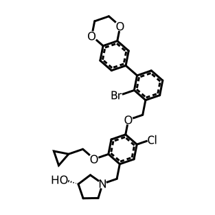 O[C@H]1CCN(Cc2cc(Cl)c(OCc3cccc(-c4ccc5c(c4)OCCO5)c3Br)cc2OCC2CC2)C1